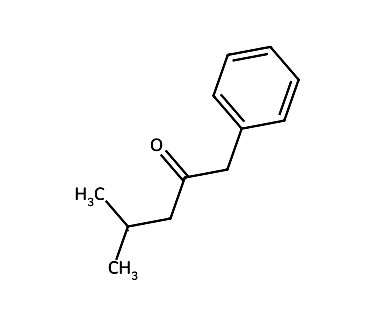 C[C](C)CC(=O)Cc1ccccc1